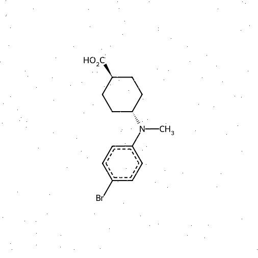 CN(c1ccc(Br)cc1)[C@H]1CC[C@H](C(=O)O)CC1